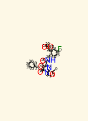 C=C1OCCn2c1nc(C(=O)NCc1ccc(F)cc1CS(C)(=O)=O)c(OCc1ccccc1)c2=O